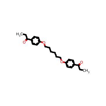 CCC(=O)c1ccc(OCCCCCCOc2ccc(C(=O)CC)cc2)cc1